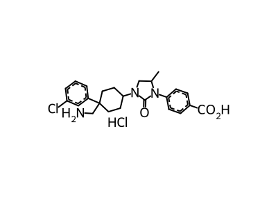 CC1CN(C2CCC(CN)(c3cccc(Cl)c3)CC2)C(=O)N1c1ccc(C(=O)O)cc1.Cl